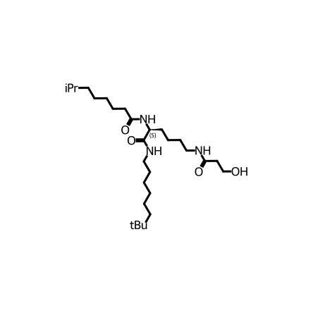 CC(C)CCCCCC(=O)N[C@@H](CCCCNC(=O)CCO)C(=O)NCCCCCCC(C)(C)C